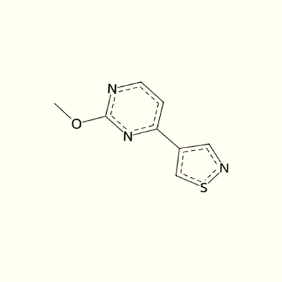 COc1nccc(-c2cnsc2)n1